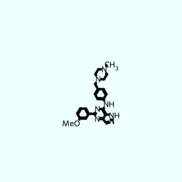 COc1cccc(-c2nc(Nc3ccc(CN4CCN(C)CC4)cc3)c3[nH]ncc3n2)c1